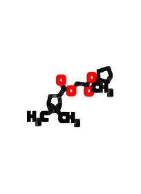 CC1C2CC(C(=O)OCC(=O)OC3(C)CCCC3)C(C2)C1C